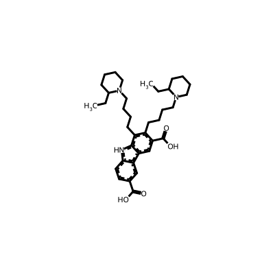 CCC1CCCCN1CCCCc1c(C(=O)O)cc2c([nH]c3ccc(C(=O)O)cc32)c1CCCCN1CCCCC1CC